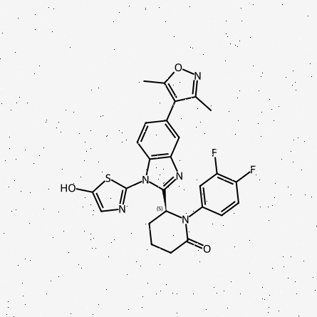 Cc1noc(C)c1-c1ccc2c(c1)nc([C@@H]1CCCC(=O)N1c1ccc(F)c(F)c1)n2-c1ncc(O)s1